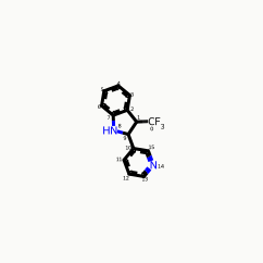 FC(F)(F)C1c2ccccc2NC1c1cccnc1